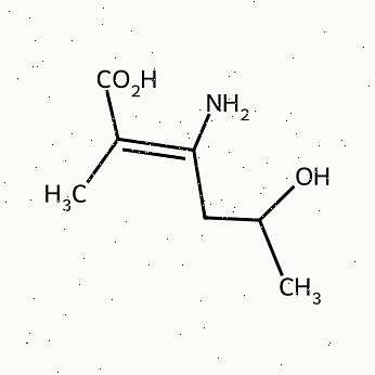 CC(C(=O)O)=C(N)CC(C)O